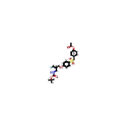 CC(=O)OC12CCC(CS(=O)(=O)c3ccc(OC/C(=C/F)CNC(=O)OC(C)(C)C)cc3)(CC1)CC2